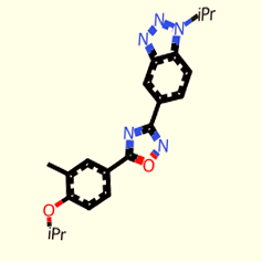 Cc1cc(-c2nc(-c3ccc4c(c3)nnn4C(C)C)no2)ccc1OC(C)C